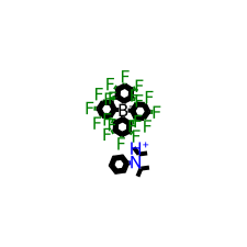 CC(C)[NH+](c1ccccc1)C(C)C.Fc1c(F)c(F)c([B-](c2c(F)c(F)c(F)c(F)c2F)(c2c(F)c(F)c(F)c(F)c2F)c2c(F)c(F)c(F)c(F)c2F)c(F)c1F